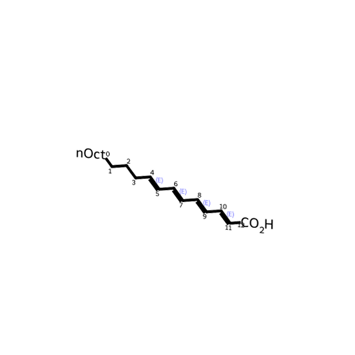 CCCCCCCCCCC/C=C/C=C/C=C/C=C/C(=O)O